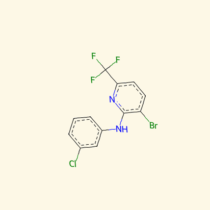 FC(F)(F)c1ccc(Br)c(Nc2cccc(Cl)c2)n1